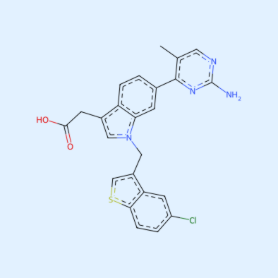 Cc1cnc(N)nc1-c1ccc2c(CC(=O)O)cn(Cc3csc4ccc(Cl)cc34)c2c1